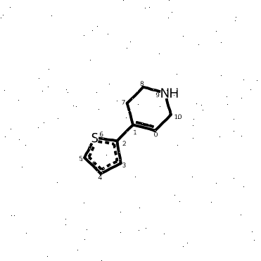 C1=C(c2cccs2)CCNC1